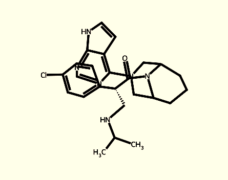 CC(C)NC[C@@H](C(=O)N1C2CCCC1CN(c1ncnc3[nH]ccc13)C2)c1ccc(Cl)cc1